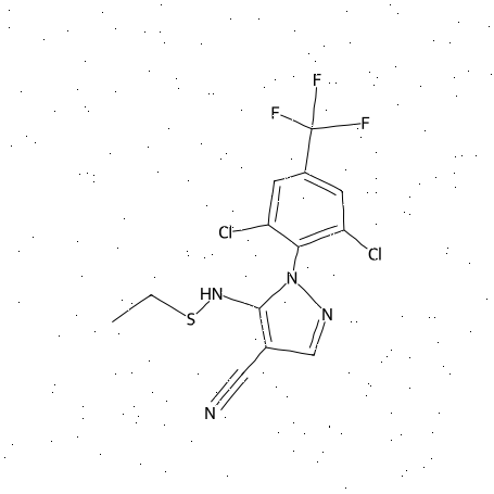 CCSNc1c(C#N)cnn1-c1c(Cl)cc(C(F)(F)F)cc1Cl